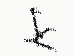 CP(=O)(S)OCCOCCOCCOCCOCCC(=O)NC(CCC(=O)NC(C=O)CCC(=O)NCCOCCON)C(=O)NCCOCCON